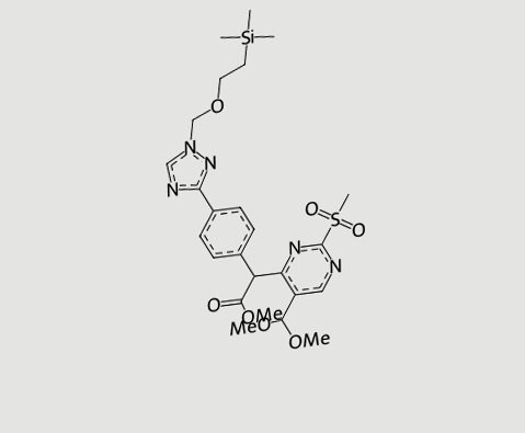 COC(=O)C(c1ccc(-c2ncn(COCC[Si](C)(C)C)n2)cc1)c1nc(S(C)(=O)=O)ncc1C(OC)OC